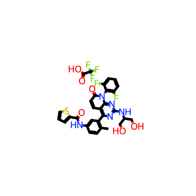 Cc1ccc(NC(=O)c2cccs2)cc1-c1nc(NC(CO)CO)nc2c1ccc(=O)n2-c1c(F)cccc1F.O=C(O)C(F)(F)F